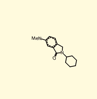 CNc1ccc2c(c1)C(=O)N(C1CCCCC1)C2